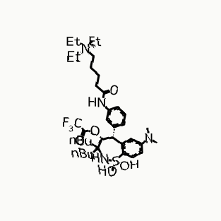 CCCCC1(CCCC)NS(O)(O)c2ccc(N(C)C)cc2[C@@H](c2cccc(NC(=O)CCCC[N+](CC)(CC)CC)c2)[C@H]1OC(=O)C(F)(F)F